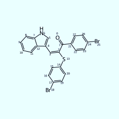 O=C(/C(=C\c1c[nH]c2ccccc12)Sc1ccc(Br)cc1)c1ccc(Br)cc1